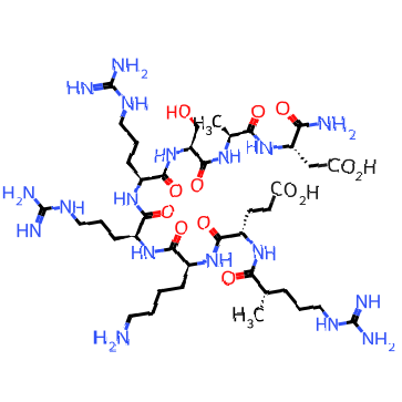 C[C@H](NC(=O)[C@H](CO)NC(=O)[C@H](CCCNC(=N)N)NC(=O)[C@H](CCCNC(=N)N)NC(=O)[C@H](CCCCN)NC(=O)[C@H](CCC(=O)O)NC(=O)[C@@H](C)CCCNC(=N)N)C(=O)N[C@@H](CC(=O)O)C(N)=O